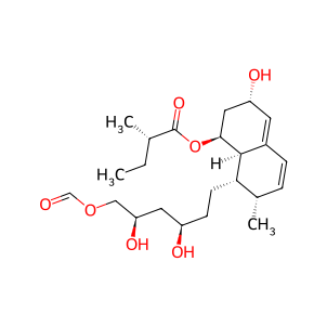 CC[C@H](C)C(=O)O[C@H]1C[C@H](O)C=C2C=C[C@H](C)[C@H](CC[C@@H](O)C[C@@H](O)COC=O)[C@H]21